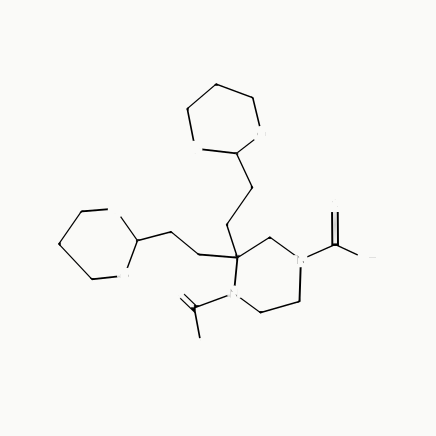 S=C(S)N1CCN(C(=S)S)C(CCC2OCCCO2)(CCC2OCCCO2)C1